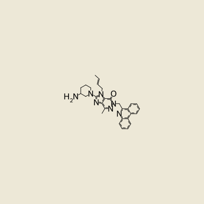 C/C=C/Cn1c(N2CCCC(N)C2)nc2c(C)nn(Cc3nc4ccccc4c4ccccc34)c(=O)c21